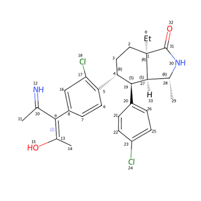 CC[C@@]12CC[C@@H](c3ccc(/C(C(C)=N)=C(\C)O)cc3Cl)[C@H](c3ccc(Cl)cc3)[C@@H]1[C@@H](C)NC2=O